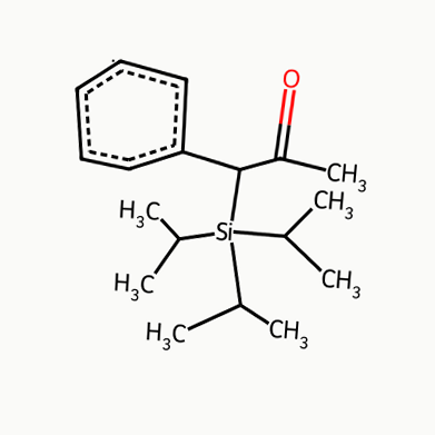 CC(=O)C(c1c[c]ccc1)[Si](C(C)C)(C(C)C)C(C)C